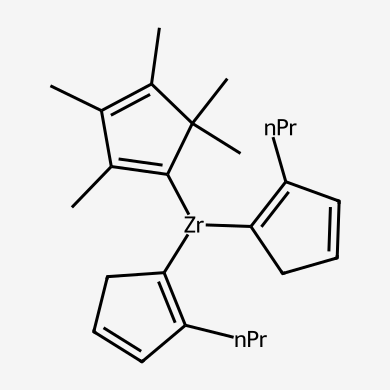 CCCC1=[C]([Zr]([C]2=C(CCC)C=CC2)[C]2=C(C)C(C)=C(C)C2(C)C)CC=C1